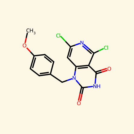 COc1ccc(Cn2c(=O)[nH]c(=O)c3c(Cl)nc(Cl)cc32)cc1